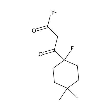 CC(C)C(=O)CC(=O)C1(F)CCC(C)(C)CC1